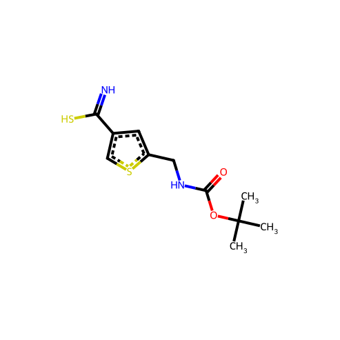 CC(C)(C)OC(=O)NCc1cc(C(=N)S)cs1